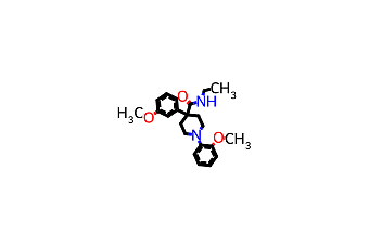 CCNC(=O)C1(c2cccc(OC)c2)CCN(c2ccccc2OC)CC1